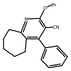 CC(C)Oc1nc2c(c(-c3ccccc3)c1C#N)CCCCC2